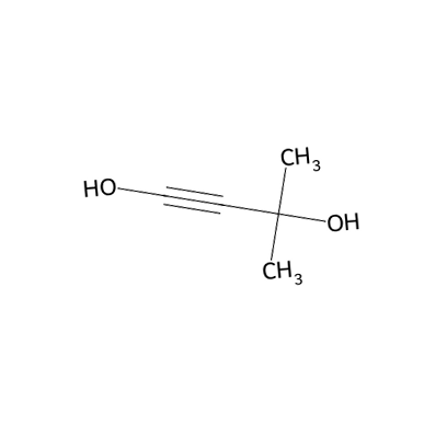 CC(C)(O)C#CO